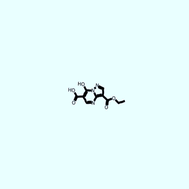 CCOC(=O)c1cnn2c(O)c(C(=O)O)cnc12